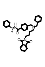 O=C(NNc1ccccc1)c1ccc(CN(CCCCN2C(=O)c3ccccc3C2=O)Cc2ccccc2)cc1